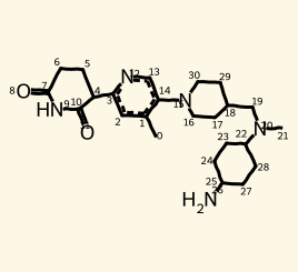 Cc1cc(C2CCC(=O)NC2=O)ncc1N1CCC(CN(C)C2CCC(N)CC2)CC1